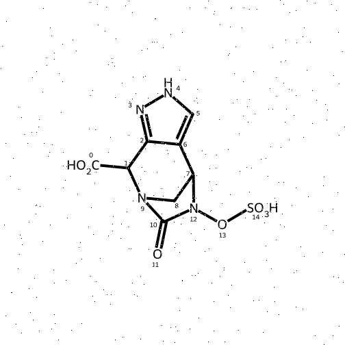 O=C(O)C1c2n[nH]cc2C2CN1C(=O)N2OS(=O)(=O)O